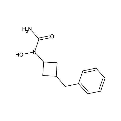 NC(=O)N(O)C1CC(Cc2ccccc2)C1